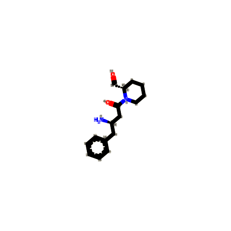 N[C@@H](CC(=O)N1CCCC[C@H]1C=O)Cc1ccccc1